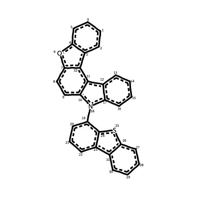 c1ccc2c(c1)oc1ccc3c(c4ccccc4n3-c3cccc4c3sc3ccccc34)c12